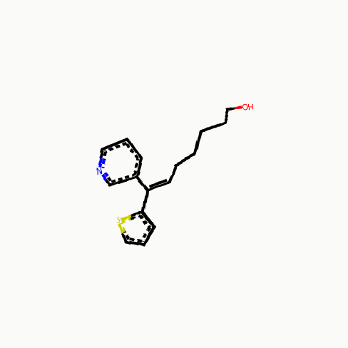 OCCCCC/C=C(\c1cccnc1)c1cccs1